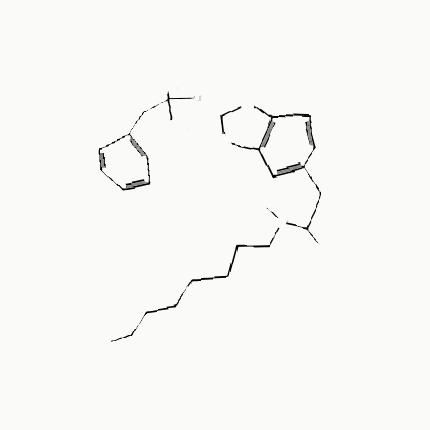 CC(C)(N)Cc1ccccc1.CCCCCCCC[S+]([O-])C(C)Cc1ccc2c(c1)OCO2